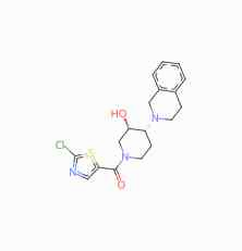 O=C(c1cnc(Cl)s1)N1CC[C@@H](N2CCc3ccccc3C2)[C@H](O)C1